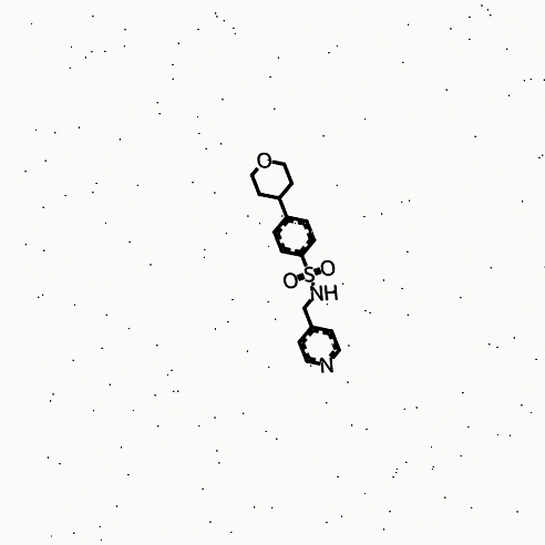 O=S(=O)(NCc1ccncc1)c1ccc(C2CCOCC2)cc1